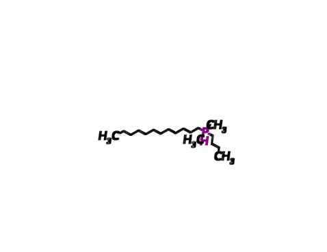 CCCCCCCCCCCC[PH](C)(C)CCCC